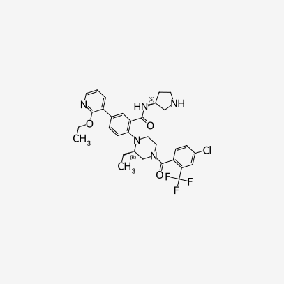 CCOc1ncccc1-c1ccc(N2CCN(C(=O)c3ccc(Cl)cc3C(F)(F)F)C[C@H]2CC)c(C(=O)N[C@H]2CCNC2)c1